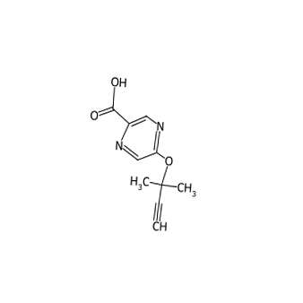 C#CC(C)(C)Oc1cnc(C(=O)O)cn1